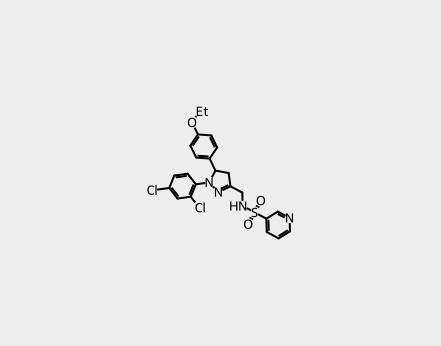 CCOc1ccc(C2CC(CNS(=O)(=O)c3cccnc3)=NN2c2ccc(Cl)cc2Cl)cc1